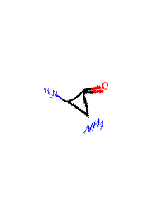 N.NC1CC1=O